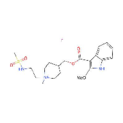 COc1[nH]c2ccccc2c1C(=O)OCC1CC[N+](C)(CCNS(C)(=O)=O)CC1.[I-]